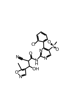 Cc1oncc1C(O)C(C#N)C(=O)Nc1ncc(S(C)(=O)=O)c(-c2ccccc2Cl)n1